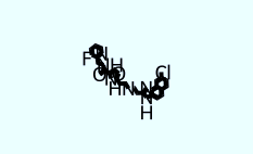 O=C(NCc1ncccc1F)c1coc(CCNCCc2nc3c(ccc4ccc(Cl)cc43)[nH]2)n1